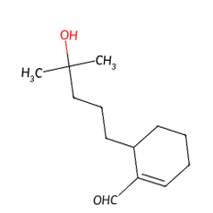 CC(C)(O)CCCC1CCCC=C1C=O